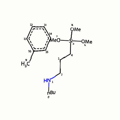 CCCCNCCC[Si](OC)(OC)OC.Cc1ccccc1